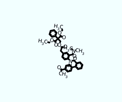 CCOC(=O)C(COC(=O)Cc1ccc(NC(=O)c2ccccc2-c2ccc(C(C)=O)cc2)c(C(=O)N(C)C)c1)(C(=O)OCC)c1ccccc1